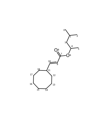 CC(C)CC(C)OC(=O)C=CC1CCCCCCC1